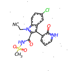 CS(=O)(=O)NC(=O)c1c(-c2ccc[nH]c2=O)c2cc(Cl)ccc2n1CC#N